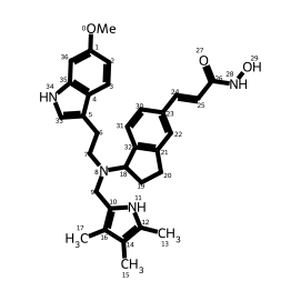 COc1ccc2c(CCN(Cc3[nH]c(C)c(C)c3C)C3CCc4cc(/C=C/C(=O)NO)ccc43)c[nH]c2c1